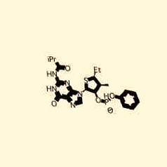 CC[C@H]1S[C@@H](n2cnc3c(=O)[nH]c(NC(=O)C(C)C)nc32)[C@H](O[PH](=O)Oc2ccccc2)[C@@H]1C